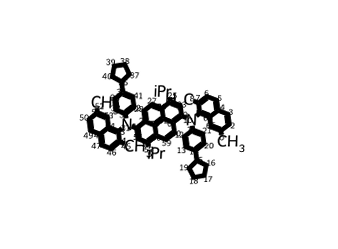 Cc1ccc2ccc(C)c(N(c3ccc(C4CCCC4)cc3)c3cc(C(C)C)c4ccc5c(N(c6ccc(C7CCCC7)cc6)c6c(C)ccc7ccc(C)cc67)cc(C(C)C)c6ccc3c4c65)c2c1